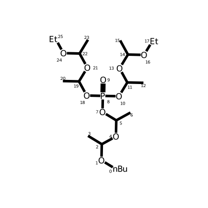 CCCCOC(C)OC(C)OP(=O)(OC(C)OC(C)OCC)OC(C)OC(C)OCC